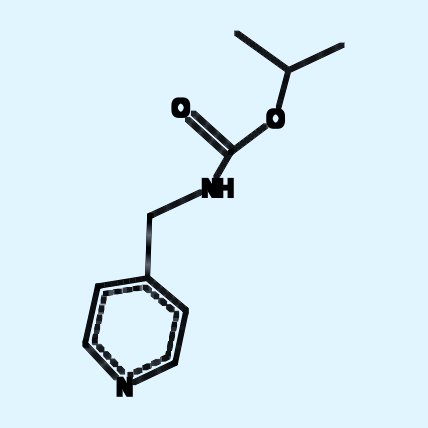 CC(C)OC(=O)NCc1ccncc1